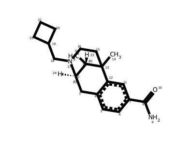 C[C@H]1[C@H]2Cc3ccc(C(N)=O)cc3C1(C)CCN2CC1CCC1